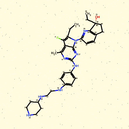 CCc1c(F)c2c(C)nc(Nc3ccc(NCCNC4CCNCC4)cc3)nc2n1-c1ccc2c(n1)[C@@](O)(CC)CC2